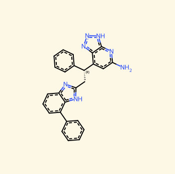 Nc1cc([C@H](Cc2nc3cccc(-c4ccccc4)c3[nH]2)c2ccccc2)c2nn[nH]c2n1